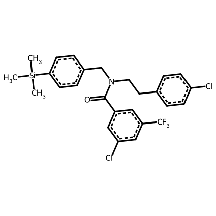 C[Si](C)(C)c1ccc(CN(CCc2ccc(Cl)cc2)C(=O)c2cc(Cl)cc(C(F)(F)F)c2)cc1